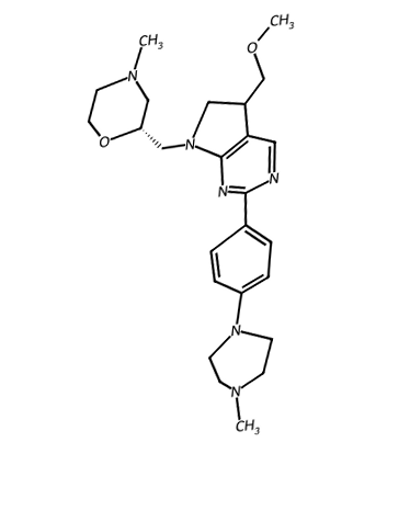 COCC1CN(C[C@H]2CN(C)CCO2)c2nc(-c3ccc(N4CCN(C)CC4)cc3)ncc21